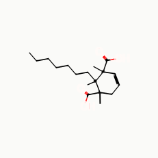 CCCCCCCC1(C)C(C)(C(=O)O)C=CCC1(C)C(=O)O